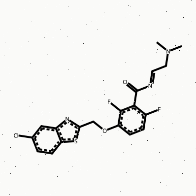 CN(C)CC=NC(=O)c1c(F)ccc(OCc2nc3cc(Cl)ccc3s2)c1F